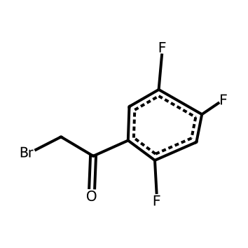 O=C(CBr)c1cc(F)c(F)cc1F